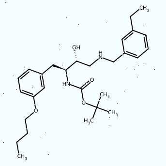 CCCCOc1cccc(C[C@H](NC(=O)OC(C)(C)C)[C@H](O)CNCc2cccc(CC)c2)c1